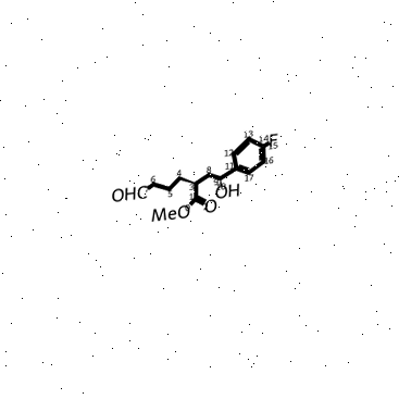 COC(=O)[C@@H](CCCC=O)C[C@@H](O)c1ccc(F)cc1